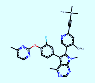 COc1cc(C#C[Si](C)(C)C(C)(C)C)ncc1-c1c(-c2ccc(Oc3nccc(C)n3)c(F)c2)c2c(C)ncnc2n1C